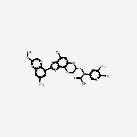 COc1cnc2c(-c3nc4c(Cl)cc5c(c4s3)OC[C@@H](CN(C(=O)O)c3cnc(C)c(C)c3)O5)cc(C)cc2n1